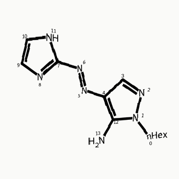 CCCCCCn1ncc(N=Nc2ncc[nH]2)c1N